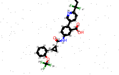 CCC(F)(F)c1ccc(-c2ccc(NC(=O)[C@@H]3C[C@H]3c3ccccc3OC(F)(F)F)cc2C(=O)O)cn1